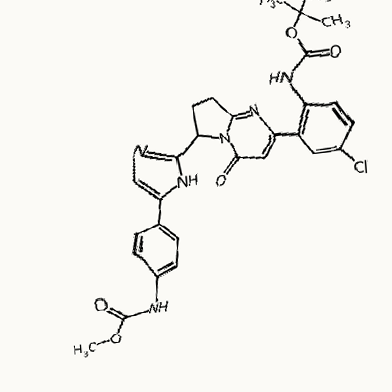 COC(=O)Nc1ccc(-c2cnc(C3CCc4nc(-c5cc(Cl)ccc5NC(=O)OC(C)(C)C)cc(=O)n43)[nH]2)cc1